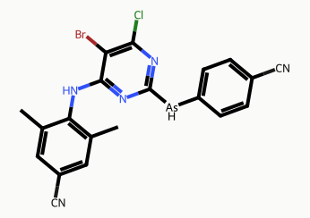 Cc1cc(C#N)cc(C)c1Nc1nc([AsH]c2ccc(C#N)cc2)nc(Cl)c1Br